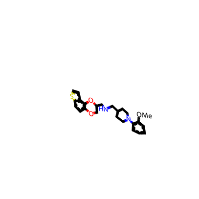 COc1ccccc1N1CCC(CNCC2COc3ccc4sccc4c3O2)CC1